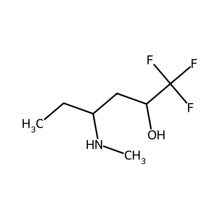 CCC(CC(O)C(F)(F)F)NC